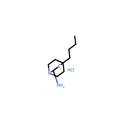 CCCCC12CCN(CC1)C(N)C2.Cl